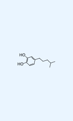 CC(C)CCCc1ccc(O)c(O)c1